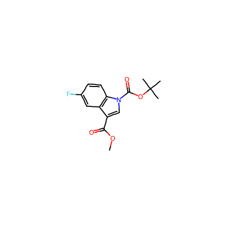 COC(=O)c1cn(C(=O)OC(C)(C)C)c2ccc(F)cc12